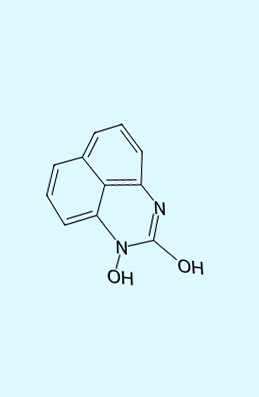 OC1=Nc2cccc3cccc(c23)N1O